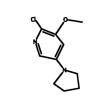 COc1cc(N2CCCC2)cnc1Cl